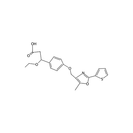 CCOC(CC(=O)O)c1ccc(OCc2nc(-c3cccs3)oc2C)cc1